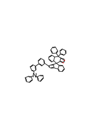 C1=CC2C(C=C1)C1(c3ccccc3-c3ccc(-c4cccc(-c5cccc(N(c6ccccc6)c6ccccc6)c5)c4)cc31)c1ccccc1C2(c1ccccc1)c1ccccc1